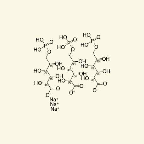 O=C([O-])[C@H](O)[C@@H](O)[C@H](O)[C@H](O)COP(=O)(O)O.O=C([O-])[C@H](O)[C@@H](O)[C@H](O)[C@H](O)COP(=O)(O)O.O=C([O-])[C@H](O)[C@@H](O)[C@H](O)[C@H](O)COP(=O)(O)O.[Na+].[Na+].[Na+]